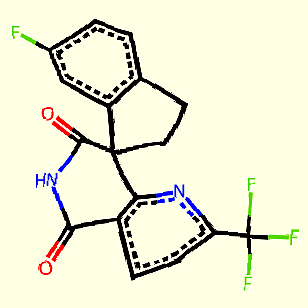 O=C1NC(=O)C2(CCc3ccc(F)cc32)c2nc(C(F)(F)F)ccc21